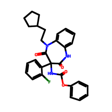 O=C(NC1(c2ccccc2F)C(=O)Nc2ccccc2N(CCC2CCCC2)C1=O)Oc1ccccc1